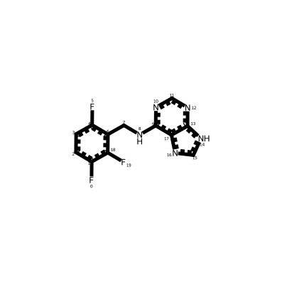 Fc1ccc(F)c(CNc2ncnc3[nH]cnc23)c1F